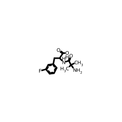 CC(C)(N)C(=O)NC(Cc1cccc(F)c1)C(=O)O